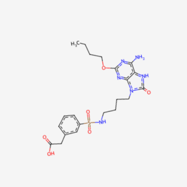 CCCCOc1nc(N)c2[nH]c(=O)n(CCCCNS(=O)(=O)c3cccc(CC(=O)O)c3)c2n1